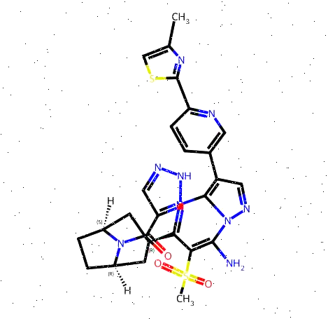 Cc1csc(-c2ccc(-c3cnn4c(N)c(S(C)(=O)=O)c([C@H]5C[C@H]6CC[C@@H](C5)N6C(=O)c5cn[nH]n5)nc34)cn2)n1